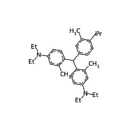 CCN(CC)c1ccc(C(c2ccc(C(C)C)c(C)c2)c2ccc(N(CC)CC)cc2C)c(C)c1